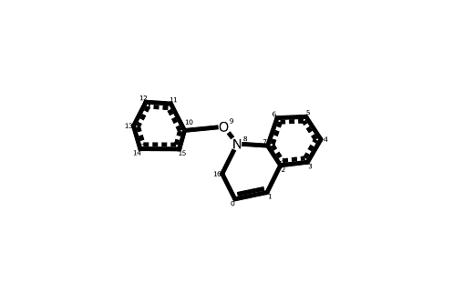 C1=Cc2ccccc2N(Oc2ccccc2)C1